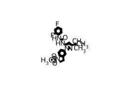 CC(C)(C)c1cc(NC(=O)Nc2ccc(F)cc2F)n(-c2ccc3c(c2)CCN3S(C)(=O)=O)n1